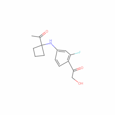 CC(=O)C1(Nc2ccc(C(=O)CO)c(F)c2)CCC1